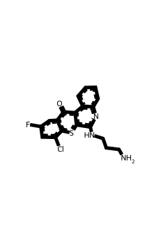 NCCCNc1nc2ccccc2c2c(=O)c3cc(F)cc(Cl)c3sc12